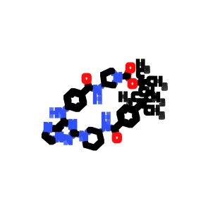 CC(C)(C)OC(=O)N1CC[C@H](NC(=O)c2ccc(Nc3nc(N4CCC[C@@H](NC(=O)c5ccc(C(C)(C)C)cc5)C4)nn4ccnc34)cc2)C1